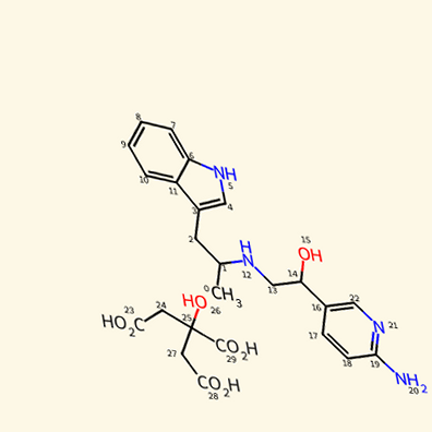 CC(Cc1c[nH]c2ccccc12)NCC(O)c1ccc(N)nc1.O=C(O)CC(O)(CC(=O)O)C(=O)O